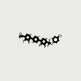 CCC1CCC(OC(F)(F)c2ccc(-c3ccc(-c4ccc(C5CO5)c(F)c4F)cc3)c(F)c2F)CC1